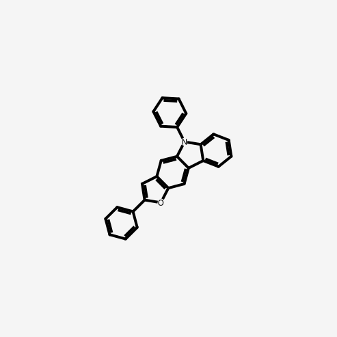 c1ccc(-c2cc3cc4c(cc3o2)c2ccccc2n4-c2ccccc2)cc1